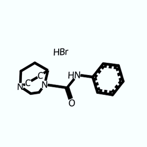 Br.O=C(Nc1ccccc1)N1CCN2CCC1CC2